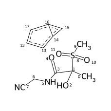 CC(O)(C(=O)NCC#N)S(C)(=O)=O.c1cc2cc-2c1